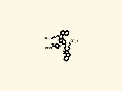 CCCCCCN(CCCCCC)c1ccc(OC2=C(/C=C/C3=C(CCCCS(=O)(=O)O)c4ccc5ccccc5c4C3(C)C)CCC/C2=C\C=C2\N(CCCCS(=O)(=O)O)c3ccc4ccccc4c3C2(C)C)cc1